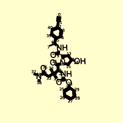 C#Cc1ccc([C@H](C)NC(=O)[C@@H]2C[C@@H](O)CN2C(=O)[C@@H](NC(=O)Oc2ccccc2)C(C)(C)CC(=O)N(C)C)cc1